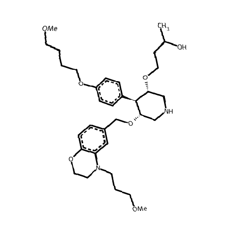 COCCCCOc1ccc([C@@H]2[C@@H](OCc3ccc4c(c3)N(CCCOC)CCO4)CNC[C@H]2OCCC(C)O)cc1